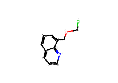 ClCOCc1cccc2cccnc12